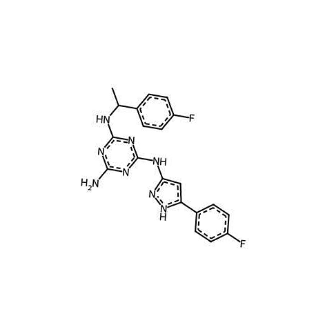 CC(Nc1nc(N)nc(Nc2cc(-c3ccc(F)cc3)[nH]n2)n1)c1ccc(F)cc1